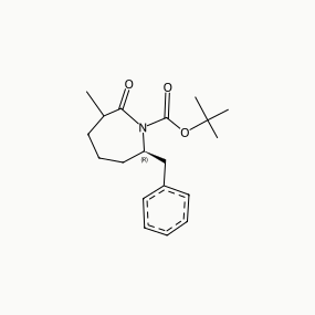 CC1CCC[C@H](Cc2ccccc2)N(C(=O)OC(C)(C)C)C1=O